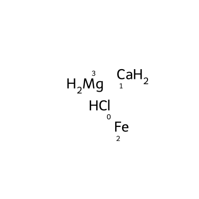 Cl.[CaH2].[Fe].[MgH2]